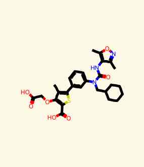 Cc1noc(C)c1NC(=O)N(CC1CCCCC1)c1cccc(-c2sc(C(=O)O)c(OCC(=O)O)c2C)c1